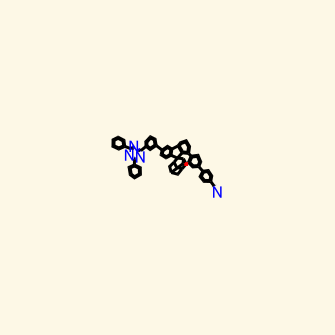 N#Cc1ccc(-c2ccc(-c3cccc4c3C3(c5ccc(-c6cccc(-c7nc(-c8ccccc8)nc(-c8ccccc8)n7)c6)cc5-4)C4CC5CC(C4)CC3C5)cc2)cc1